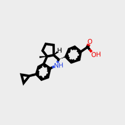 C[C@@]12CCC[C@@H]1[C@H](c1ccc(C(=O)O)cc1)Nc1ccc(C3CC3)cc12